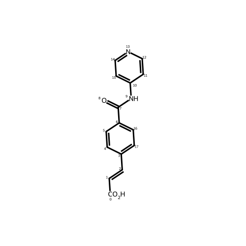 O=C(O)C=Cc1ccc(C(=O)Nc2ccncc2)cc1